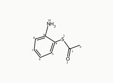 CC(=O)Sc1ccccc1N